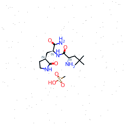 CC(C)(C)C[C@H](N)C(=O)N[C@@H](C[C@@H]1CCNC1=O)C(N)=O.CS(=O)(=O)O